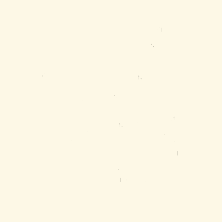 COc1ccc(S(=O)(=O)CC2=C(C(=O)O)C(c3c(Cl)cccc3Cl)C(C(=O)O)=C(CC(=O)N3CCN(C)CC3)N2)cc1